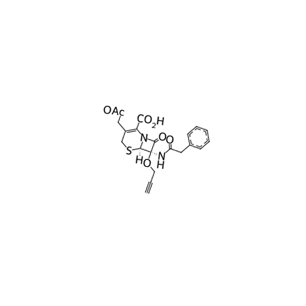 C#CCO[C@]1(NC(=O)Cc2ccccc2)C(=O)N2C(C(=O)O)=C(COC(C)=O)CS[C@@H]21